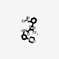 CCN(CC)Cc1ccccc1-c1nc(C(F)(F)F)c(C(=O)N[C@@H](C)c2cccc(N3CCOCC3)c2)s1